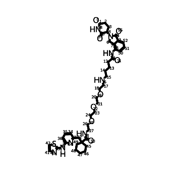 O=C1CCC(N2Cc3c(NC(=O)CCCCNCCOCCOCCOCCNC(=O)C4(Cc5cccc(Nc6nccs6)n5)CCCCC4)cccc3C2=O)C(=O)N1